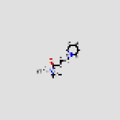 CCCN(CCC)C(=O)CCCN1CCCCC1